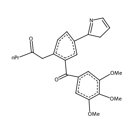 CCCC(=O)Cc1ccc(C2=NC=CC2)cc1C(=O)c1cc(OC)c(OC)c(OC)c1